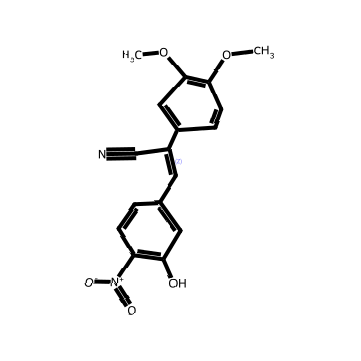 COc1ccc(/C(C#N)=C/c2ccc([N+](=O)[O-])c(O)c2)cc1OC